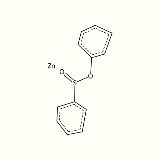 O=S(Oc1ccccc1)c1ccccc1.[Zn]